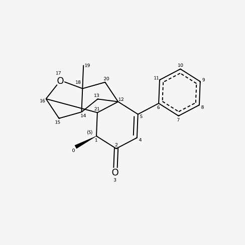 C[C@@H]1C(=O)C=C(c2ccccc2)C23CC4CC(OC4(C)C2)C13